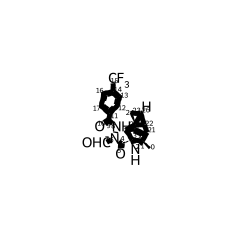 C[C@@]12N[C@@]1(C(=O)N(C=O)NC(=O)c1ccc(C(F)(F)F)cc1)C1C=CC2C2[C@H]3C[C@@]213